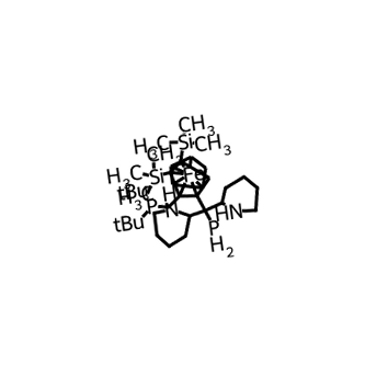 CC(C)(C)P(C[C]12[C]3(C(P)(C4CCCCN4)C4CCCCN4)[CH]4[C]5([Si](C)(C)C)[C]1([Si](C)(C)C)[Fe]42351678[CH]2[CH]1[CH]6[CH]7[CH]28)C(C)(C)C